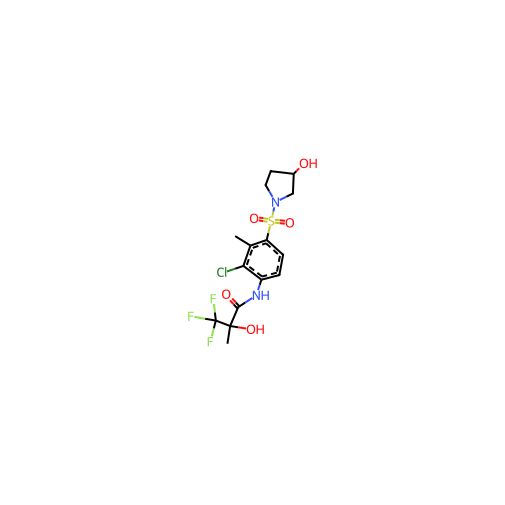 Cc1c(S(=O)(=O)N2CCC(O)C2)ccc(NC(=O)C(C)(O)C(F)(F)F)c1Cl